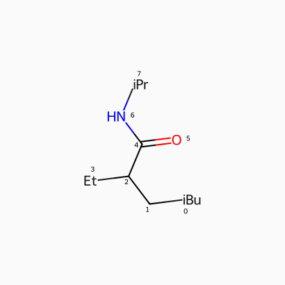 CCC(C)CC(CC)C(=O)NC(C)C